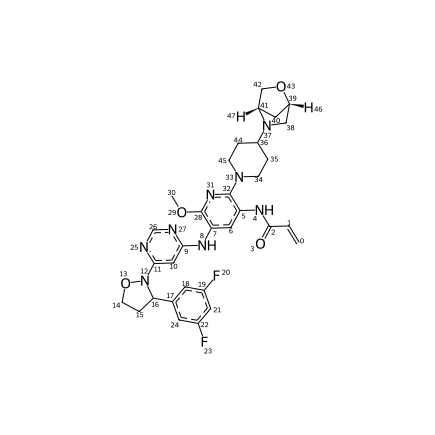 C=CC(=O)Nc1cc(Nc2cc(N3OCCC3c3cc(F)cc(F)c3)ncn2)c(OC)nc1N1CCC(N2C[C@@H]3C[C@H]2CO3)CC1